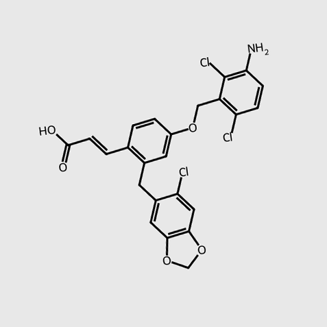 Nc1ccc(Cl)c(COc2ccc(C=CC(=O)O)c(Cc3cc4c(cc3Cl)OCO4)c2)c1Cl